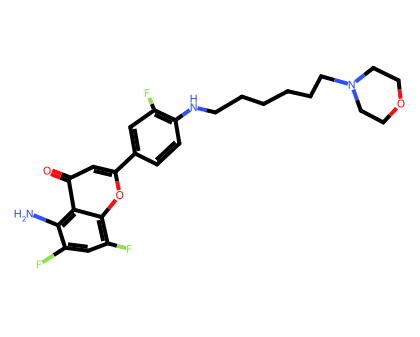 Nc1c(F)cc(F)c2oc(-c3ccc(NCCCCCCN4CCOCC4)c(F)c3)cc(=O)c12